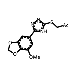 COc1cc(-c2nnc(SCC(C)=O)[nH]2)cc2c1OCO2